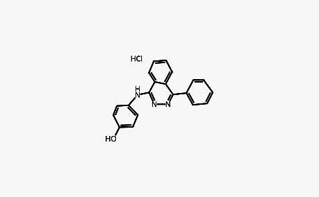 Cl.Oc1ccc(Nc2nnc(-c3ccccc3)c3ccccc23)cc1